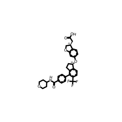 O=C(O)C[C@@H]1COc2cc(O[C@@H]3CCc4c3ccc(C(F)(F)F)c4-c3ccc(C(=O)NC4CCOCC4)cc3)ccc21